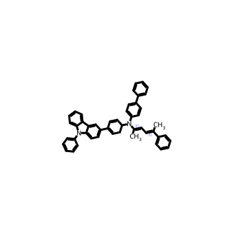 C/C(=C\C=C(/C)N(c1ccc(-c2ccccc2)cc1)C1C=CC(c2ccc3c(c2)c2ccccc2n3-c2ccccc2)=CC1)c1ccccc1